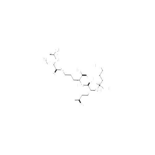 CCCCC(C)(C)N[C@@H](CCC(=O)O)C(=O)NC(CCCNC(=O)[C@H](CN)NC(C)C)C(=O)O